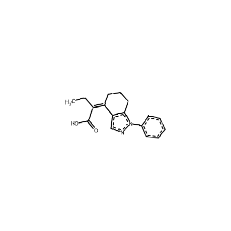 CC/C(C(=O)O)=C1\CCCc2c1cnn2-c1ccccc1